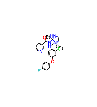 CCC1(NC(=O)c2cccnc2)NC=C[N+]1(C)Cc1ccc(Oc2ccc(F)cc2)cc1Cl